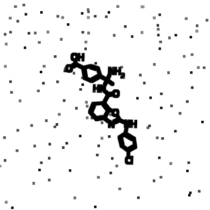 CC(N)(NC(=O)c1cccc2nc(Nc3ccc(Cl)cc3)oc12)c1ccc(C(=O)O)cc1